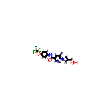 O=C(Nc1ccc(OC(F)(F)Cl)cc1)c1cnc(N2CC(CO)C2)c(I)c1